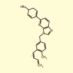 C=C/C=C\c1cc(Cn2cnc3ccc(C4=CCC(CCCC)C=C4)nc32)ccc1C